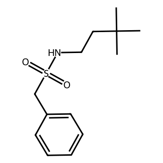 CC(C)(C)CCNS(=O)(=O)Cc1ccccc1